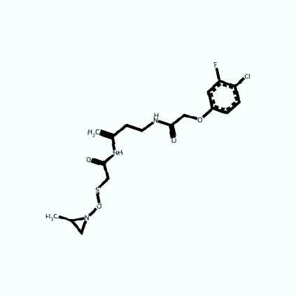 C=C(CCNC(=O)COc1ccc(Cl)c(F)c1)NC(=O)CSON1CC1C